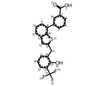 O=C(O)c1cccc(-c2cccc3cc(Cc4cccc(C(F)(F)F)c4O)sc23)c1